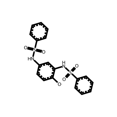 [O]c1ccc(NS(=O)(=O)c2ccccc2)cc1NS(=O)(=O)c1ccccc1